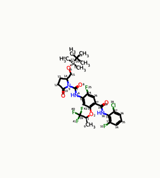 C[C@H](Oc1cc(NC(=O)N2C(=O)CCC2CO[Si](C)(C)C(C)(C)C)c(F)cc1C(=O)Nc1c(F)cccc1Cl)C(F)(F)F